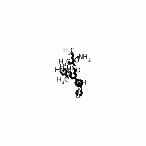 C=C(C)/C(CNC(=O)/C=C/C(=C\C(=C\C)N(C)C1CCNCC1)C1=C2CCCC(=C1)C(CN1CCOCC1)N2)=C(\C/C=C/C)OCN